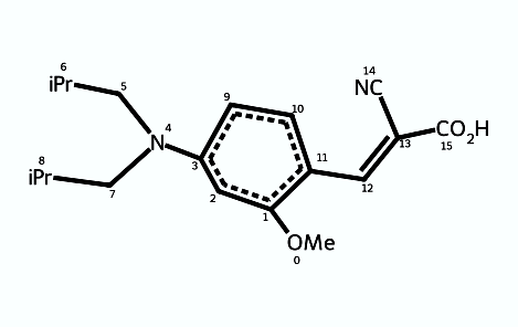 COc1cc(N(CC(C)C)CC(C)C)ccc1/C=C(\C#N)C(=O)O